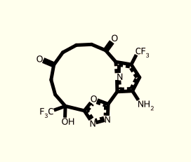 Nc1cc(C(F)(F)F)c2nc1-c1nnc(o1)C(O)(C(F)(F)F)CCC(=O)CCCC2=O